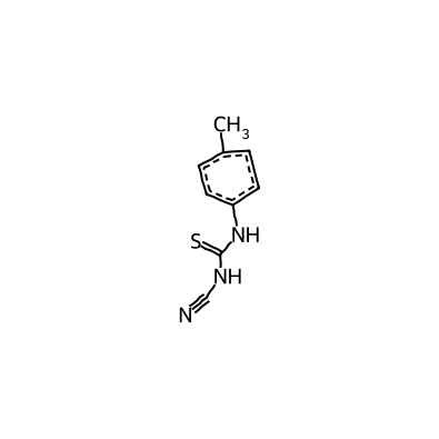 Cc1ccc(NC(=S)NC#N)cc1